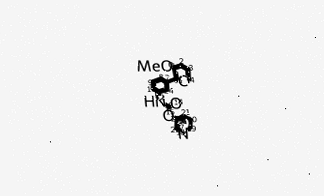 COc1ccccc1-c1cccc(NC(=O)OC2CN3CCC2CC3)c1